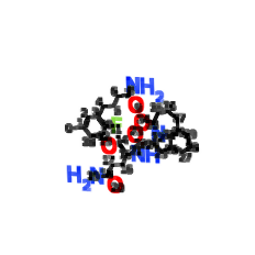 Cc1cc(CCCC(N)=O)c(F)c(OC[C@H](CCC(N)=O)NC(=O)[C@@H]2Cc3cccc4c3N2C(=O)CCC4)c1